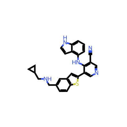 N#Cc1cncc(-c2cc3cc(CNCC4CC4)ccc3s2)c1Nc1cccc2[nH]ccc12